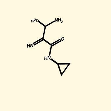 CCCC(N)C(=N)C(=O)NC1CC1